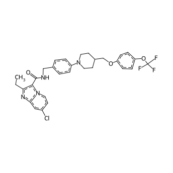 CCc1nc2cc(Cl)ccn2c1C(=O)NCc1ccc(N2CCC(COc3ccc(OC(F)(F)F)cc3)CC2)cc1